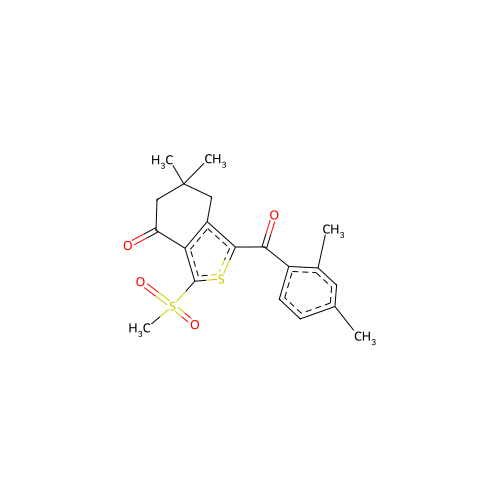 Cc1ccc(C(=O)c2sc(S(C)(=O)=O)c3c2CC(C)(C)CC3=O)c(C)c1